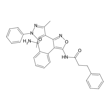 Cc1nn(-c2ccccc2)c(C)c1-c1noc(NC(=O)CCc2ccccc2)c1-c1ccccc1C(N)=O